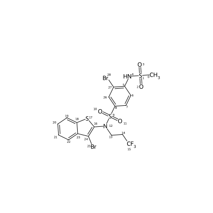 CS(=O)(=O)Nc1ccc(S(=O)(=O)N(CCC(F)(F)F)c2sc3ccccc3c2Br)cc1Br